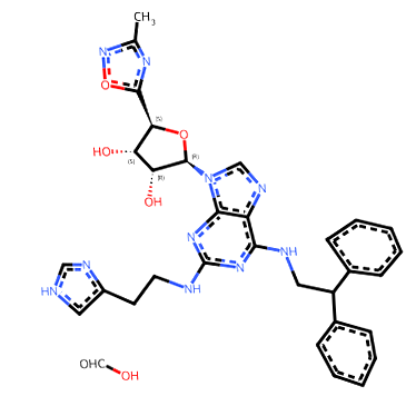 Cc1noc([C@H]2O[C@@H](n3cnc4c(NCC(c5ccccc5)c5ccccc5)nc(NCCc5c[nH]cn5)nc43)[C@H](O)[C@@H]2O)n1.O=CO